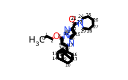 CCCOc1cc(C23CC4CC(CC(C4)C2)C3)nc2cc(C(=O)N3CCCCCC3)nn12